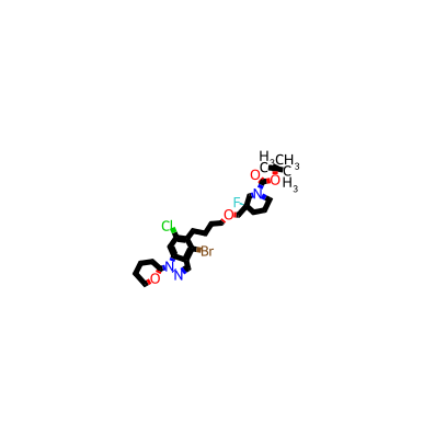 CC(C)(C)OC(=O)N1CCC[C@@](F)(COCCCCc2c(Cl)cc3c(cnn3C3CCCCO3)c2Br)C1